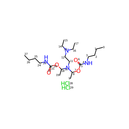 CCCCNC(=O)OC(C)N(CCN(CC)CC)C(C)OC(=O)NCCCC.Cl.Cl